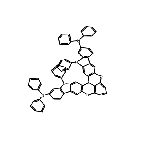 c1ccc(N(c2ccccc2)c2ccc3c4cc5c(cc4n(-c4ccccc4)c3c2)B2c3cc4c(cc3Oc3cccc(c32)O5)c2ccc(N(c3ccccc3)c3ccccc3)cc2n4-c2ccccc2)cc1